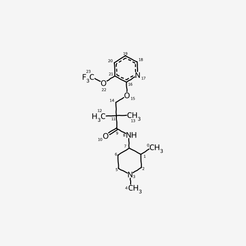 CC1CN(C)CCC1NC(=O)C(C)(C)COc1ncccc1OC(F)(F)F